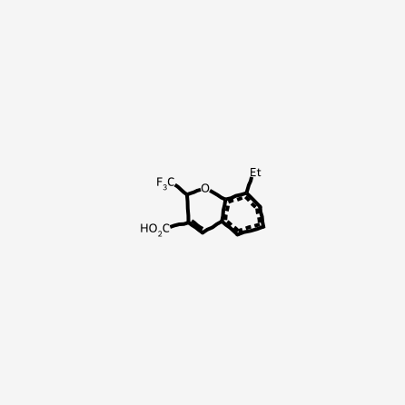 CCc1cccc2c1OC(C(F)(F)F)C(C(=O)O)=C2